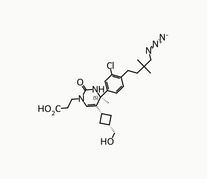 CC(C)(CCc1ccc([C@]2(C)NC(=O)N(CCC(=O)O)C=C2[C@H]2C[C@@H](CO)C2)cc1Cl)CN=[N+]=[N-]